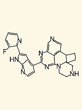 Fc1cccnc1-c1cc2c(-c3nc(N4CCNCC4)c4c(C5CCC5)cncc4n3)ccnc2[nH]1